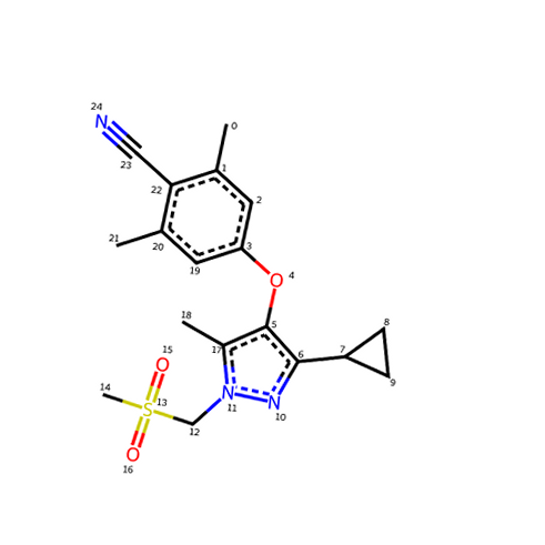 Cc1cc(Oc2c(C3CC3)nn(CS(C)(=O)=O)c2C)cc(C)c1C#N